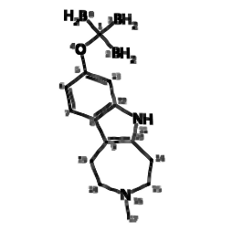 BC(B)(B)Oc1ccc2c3c([nH]c2c1)CCN(C)CC3